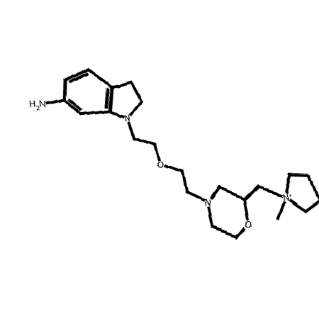 C[N+]1(CC2CN(CCOCCN3CCc4ccc(N)cc43)CCO2)CCCC1